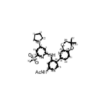 CC(=O)Nc1cc(Nc2cc(N3CCCC3)cc(S(C)(=O)=O)n2)c(-c2ccc3c(n2)OCC(C)(C)O3)cn1